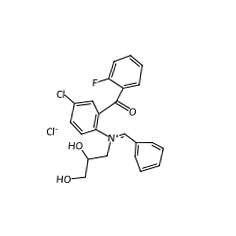 O=C(c1ccccc1F)c1cc(Cl)ccc1[N+](=Cc1ccccc1)CC(O)CO.[Cl-]